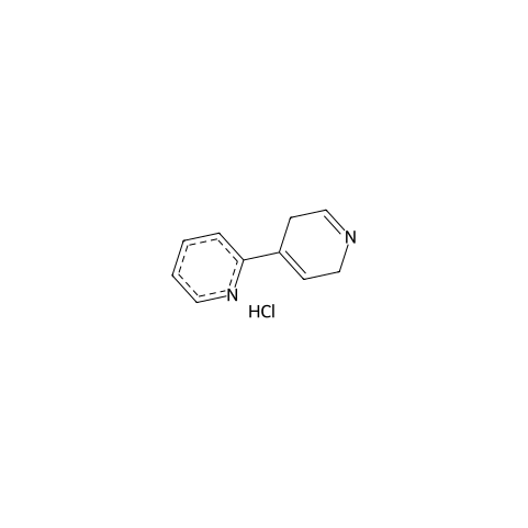 C1=NCC=C(c2ccccn2)C1.Cl